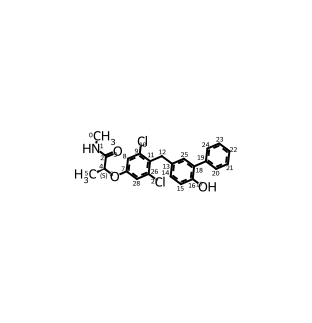 CNC(=O)[C@H](C)Oc1cc(Cl)c(Cc2ccc(O)c(-c3ccccc3)c2)c(Cl)c1